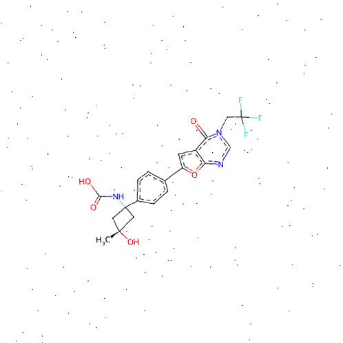 C[C@]1(O)C[C@](NC(=O)O)(c2ccc(-c3cc4c(=O)n(CC(F)(F)F)cnc4o3)cc2)C1